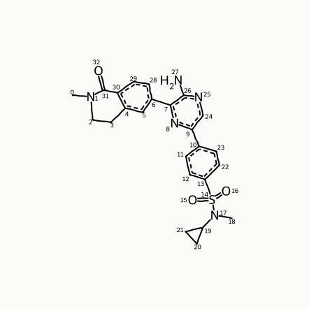 CN1CCc2cc(-c3nc(-c4ccc(S(=O)(=O)N(C)C5CC5)cc4)cnc3N)ccc2C1=O